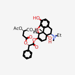 CCN(C)[C@@H]1Cc2ccc(O)c3c2[C@@]2(C)[C@@H](O3)C(OC(=O)[C@@H](OC(=O)C[C@H](OC(C)=O)C(=O)O)c3ccccc3)=CC[C@@]12O